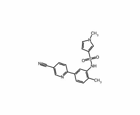 Cc1ccc(-c2ccc(C#N)cn2)cc1NS(=O)(=O)c1ccn(C)c1